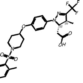 Cc1ccccc1S(=O)(=O)N1CCC(Oc2ccc(N3N=C(C(F)(F)F)[C@@H](C)[C@@H]3CC(=O)O)cc2)CC1